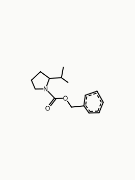 CC(C)C1CCCN1C(=O)OCc1ccccc1